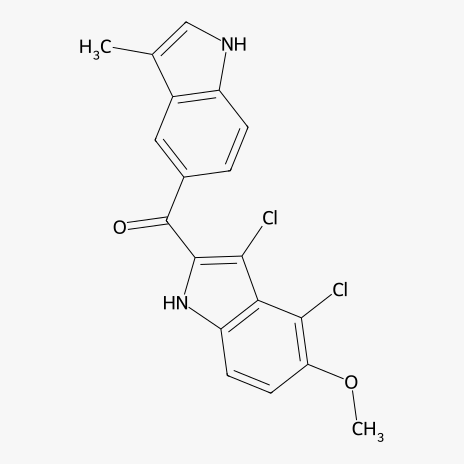 COc1ccc2[nH]c(C(=O)c3ccc4[nH]cc(C)c4c3)c(Cl)c2c1Cl